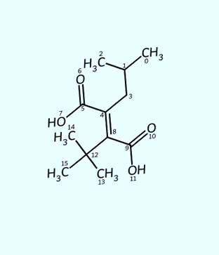 CC(C)CC(C(=O)O)=C(C(=O)O)C(C)(C)C